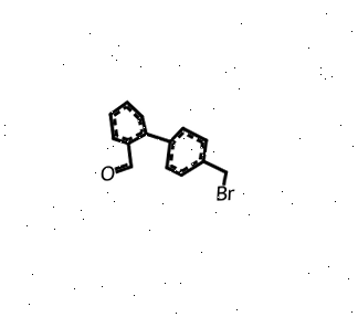 O=Cc1ccccc1-c1ccc(CBr)cc1